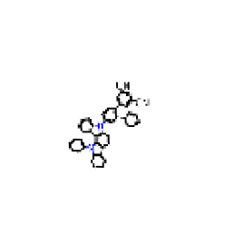 N#Cc1cc(C#N)cc(-c2ccc(-n3c4ccccc4c4c3ccc3c5ccccc5n(-c5ccccc5)c34)cc2-c2ccccc2)c1